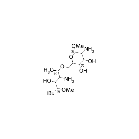 CCC(C)[C@@H](OC)C(O)C(N)[C@@H](C)OCC1O[C@H](OC)C(N)C(O)[C@@H]1O